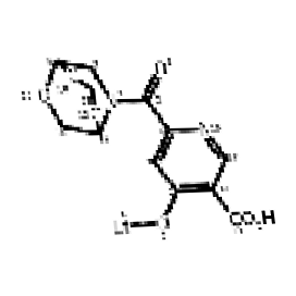 CCOc1cc(C(=O)N2CC3CCCC2CO3)ncc1C(=O)O